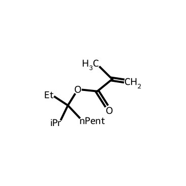 C=C(C)C(=O)OC(CC)(CCCCC)C(C)C